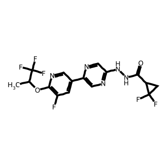 CC(Oc1ncc(-c2cnc(NNC(=O)C3CC3(F)F)cn2)cc1F)C(F)(F)F